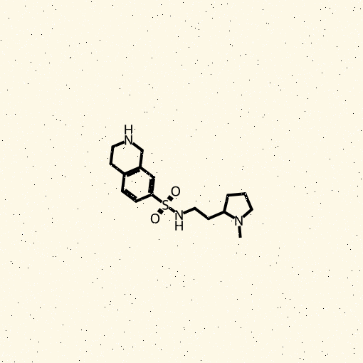 CN1CCCC1CCNS(=O)(=O)c1ccc2c(c1)CNCC2